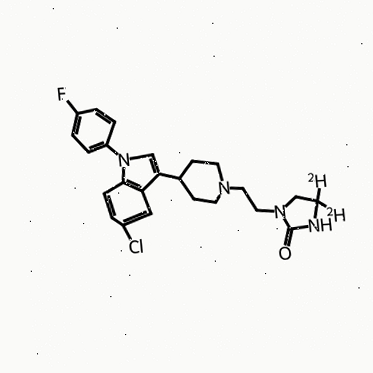 [2H]C1([2H])CN(CCN2CCC(c3cn(-c4ccc(F)cc4)c4ccc(Cl)cc34)CC2)C(=O)N1